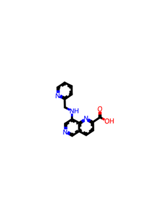 O=C(O)c1ccc2cncc(NCc3ccccn3)c2n1